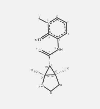 Cn1cccc(NC(=O)[C@@H]2[C@H]3CCO[C@H]32)c1=O